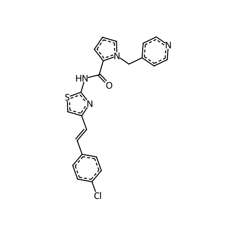 O=C(Nc1nc(C=Cc2ccc(Cl)cc2)cs1)c1cccn1Cc1ccncc1